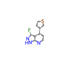 Fc1n[nH]c2nccc(-c3ccsc3)c12